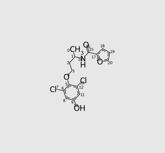 CC(CCOc1c(Cl)cc(O)cc1Cl)NC(=O)c1ccco1